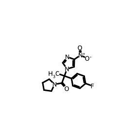 CC(C(=O)N1CCCC1)(c1ccc(F)cc1)n1cnc([N+](=O)[O-])c1